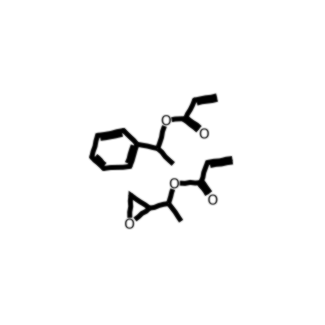 C=CC(=O)OC(C)C1CO1.C=CC(=O)OC(C)c1ccccc1